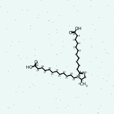 CC1CN=C(CCCCCCCCCCC(=O)O)N1CCCCCCCCCCCC(=O)O